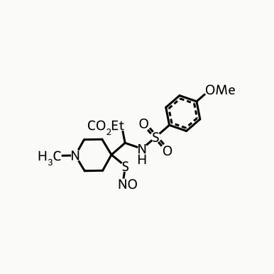 CCOC(=O)C(NS(=O)(=O)c1ccc(OC)cc1)C1(SN=O)CCN(C)CC1